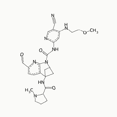 COCCNc1cc(NC(=O)N2c3nc(C=O)ccc3C3(NC(=O)C4CCCN4C)CC2C3)ncc1C#N